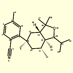 Cc1ccc(C#N)c([C@]2(C)C[C@@H](C)[C@H]3[C@H](C2)C(C)(C)ON3C(C)C)c1